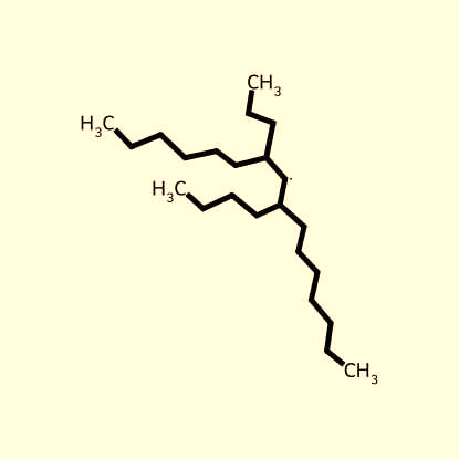 CCCCCCCC([CH]C(CCC)CCCCCC)CCCC